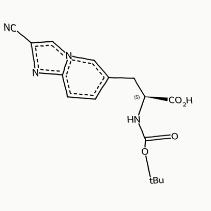 CC(C)(C)OC(=O)N[C@@H](Cc1ccc2nc(C#N)cn2c1)C(=O)O